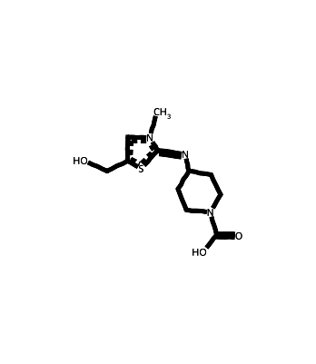 Cn1cc(CO)s/c1=N\C1CCN(C(=O)O)CC1